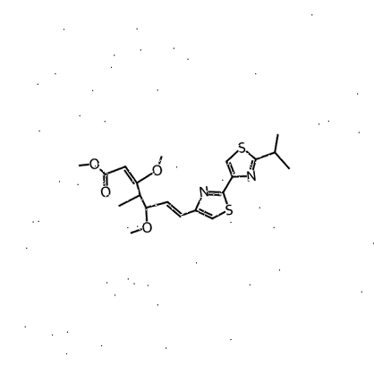 COC(=O)/C=C(/OC)C(C)C(/C=C/c1csc(-c2csc(C(C)C)n2)n1)OC